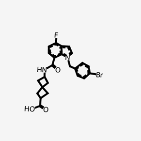 O=C(NC1CC2(C1)CC(C(=O)O)C2)c1ccc(F)c2ccn(Cc3ccc(Br)cc3)c12